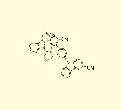 N#Cc1cc(C#N)c(-c2ccc(-n3c4ccccc4c4cc(C#N)ccc43)cc2)c(-c2ccccc2-n2c3ccccc3c3ccccc32)c1